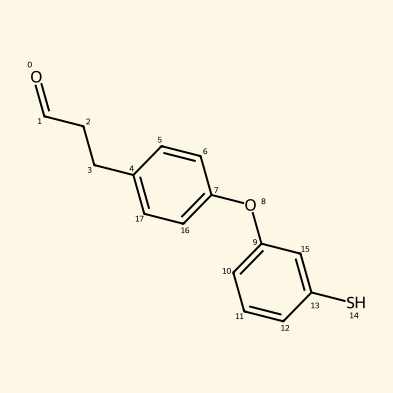 O=CCCc1ccc(Oc2cccc(S)c2)cc1